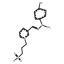 CN(/N=C/c1ccc[n+](CCCS(=O)(=O)[O-])c1)c1ccc(O)cc1